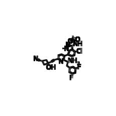 Cn1nc(NS(C)(=O)=O)c2c(Cl)ccc(-c3ccc(C#CC4(O)CC(C#N)C4)nc3C(N)Cc3cc(F)cc(F)c3)c21